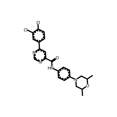 CC1CN(c2ccc(NC(=O)c3cc(-c4ccc(Cl)c(Cl)c4)ncn3)cc2)CC(C)O1